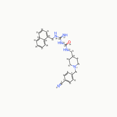 N#Cc1ccc(CN2CCC(CNC(=O)NC(=N)NCc3cccc4ccccc34)CC2)cc1